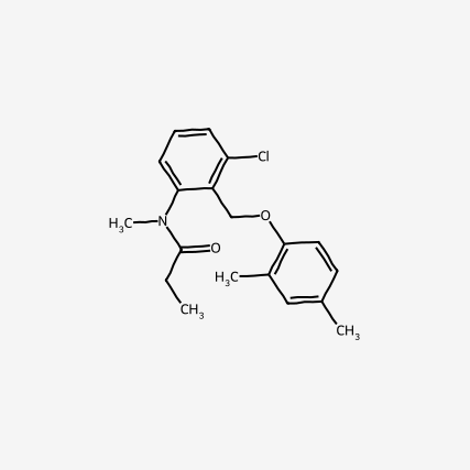 CCC(=O)N(C)c1cccc(Cl)c1COc1ccc(C)cc1C